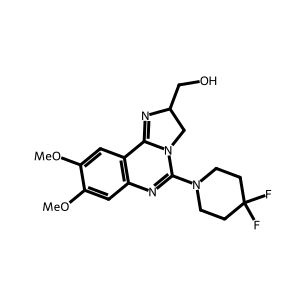 COc1cc2c(cc1OC)C1=NC(CO)CN1C(N1CCC(F)(F)CC1)=N2